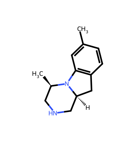 Cc1ccc2c(c1)N1[C@H](CNC[C@H]1C)C2